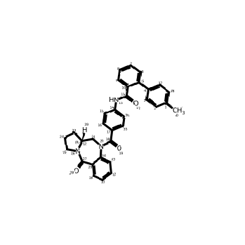 Cc1ccc(-c2ccccc2C(=O)Nc2ccc(C(=O)N3C[C@H]4CCCN4C(=O)c4ccccc43)cc2)cc1